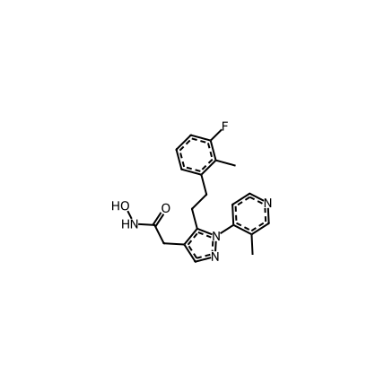 Cc1cnccc1-n1ncc(CC(=O)NO)c1CCc1cccc(F)c1C